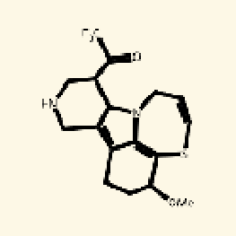 COC1CCC2=C3CNCC(C(=O)C(F)(F)F)C3N3CC=CSC1=C23